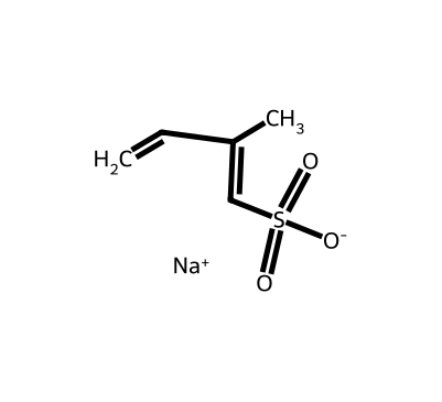 C=CC(C)=CS(=O)(=O)[O-].[Na+]